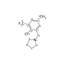 Cc1cc(CN2CCCC2)c(Cl)c(C(F)(F)F)c1